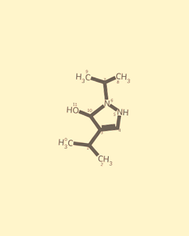 CC(C)C1=CNN(C(C)C)C1O